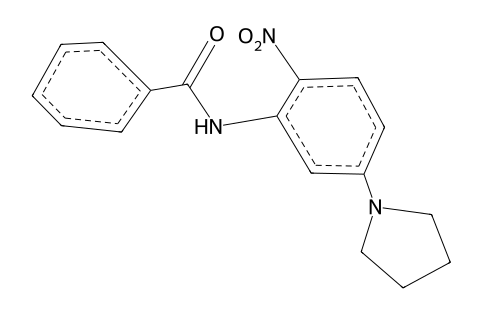 O=C(Nc1cc(N2CCCC2)ccc1[N+](=O)[O-])c1ccccc1